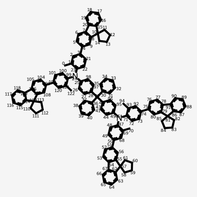 Cc1cc(-c2ccc3c(c2)C2(CCCC2)c2ccccc2-3)ccc1N(c1ccc(C(c2ccccc2)(c2ccccc2)c2ccc(N(c3ccc(-c4ccc5c(c4)C4(CCCC4)c4ccccc4-5)cc3C)c3ccc(-c4ccc5c(c4)C4(CCCC4)c4ccccc4-5)cc3C)cc2)cc1)c1ccc(-c2ccc3c(c2)C2(CCCC2)c2ccccc2-3)cc1C